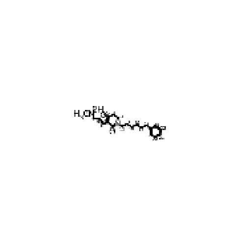 CN(C)Cc1cc2c(o1)CCN(CCCCCCc1ccccc1)C2=O